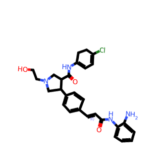 Nc1ccccc1NC(=O)/C=C/c1ccc(C2CN(CCO)CC2C(=O)NC2=CC=C(Cl)CC2)cc1